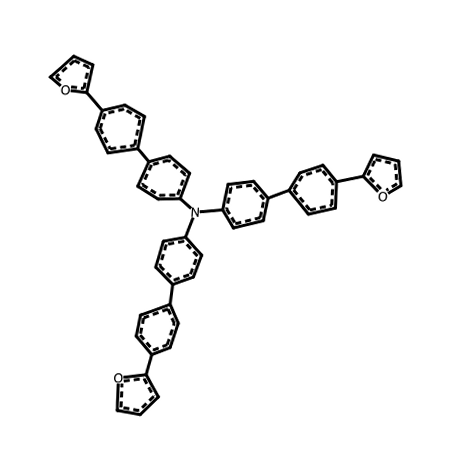 c1coc(-c2ccc(-c3ccc(N(c4ccc(-c5ccc(-c6ccco6)cc5)cc4)c4ccc(-c5ccc(-c6ccco6)cc5)cc4)cc3)cc2)c1